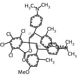 COc1ccc(/C(=C\C2(/C=C(/c3ccc(N(C)C)cc3)c3ccc(OC)cc3C)OC(=O)c3c(Cl)c(Cl)c(Cl)c(Cl)c32)c2ccc(N(C)C)cc2)c(C)c1